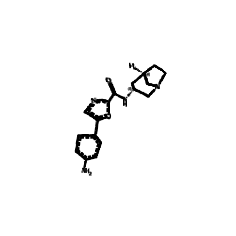 Nc1ccc(-c2cnc(C(=O)N[C@@H]3C[C@H]4CCN(C4)C3)o2)cc1